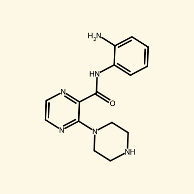 Nc1ccccc1NC(=O)c1nccnc1N1CCNCC1